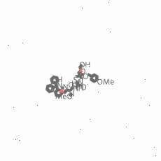 CON=C(C(=O)NC1C(=O)N2CC(C=CCO)(C(=O)OCc3ccc(OC)cc3)CS[C@H]12)c1csc(NC(c2ccccc2)(c2ccccc2)c2ccccc2)n1